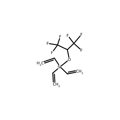 C=C[Si](C=C)(C=C)OC(C(F)(F)F)C(F)(F)F